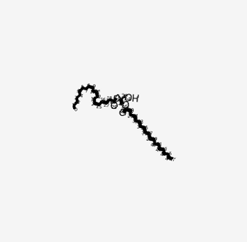 CCCCC/C=C\C/C=C\C/C=C\C/C=C\CCCC(=O)O[C@@H](CO)COC(=O)CCCCCCCCCCCCCCCCCCC